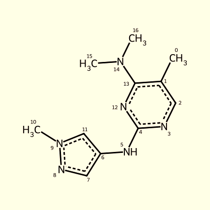 Cc1cnc(Nc2cnn(C)c2)nc1N(C)C